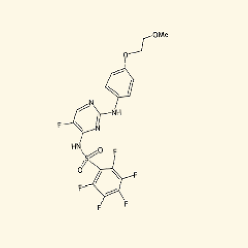 COCCOc1ccc(Nc2ncc(F)c(NS(=O)(=O)c3c(F)c(F)c(F)c(F)c3F)n2)cc1